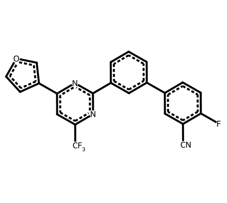 N#Cc1cc(-c2cccc(-c3nc(-c4ccoc4)cc(C(F)(F)F)n3)c2)ccc1F